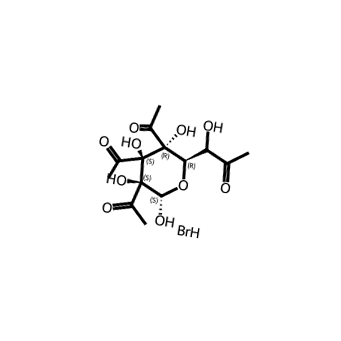 Br.CC(=O)C(O)[C@H]1O[C@H](O)[C@](O)(C(C)=O)[C@](O)(C(C)=O)[C@@]1(O)C(C)=O